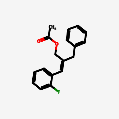 CC(=O)OC/C(=C\c1ccccc1F)Cc1ccccc1